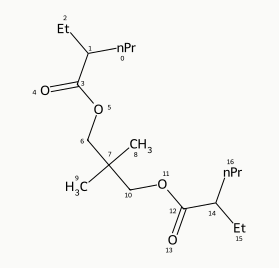 CCCC(CC)C(=O)OCC(C)(C)COC(=O)C(CC)CCC